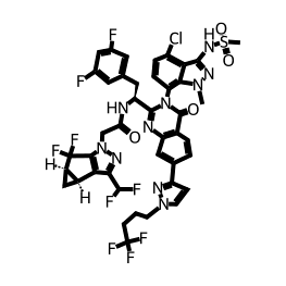 Cn1nc(NS(C)(=O)=O)c2c(Cl)ccc(-n3c([C@H](Cc4cc(F)cc(F)c4)NC(=O)Cn4nc(C(F)F)c5c4C(F)(F)[C@@H]4C[C@H]54)nc4cc(-c5ccn(CCCC(F)(F)F)n5)ccc4c3=O)c21